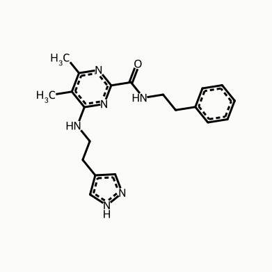 Cc1nc(C(=O)NCCc2ccccc2)nc(NCCc2cn[nH]c2)c1C